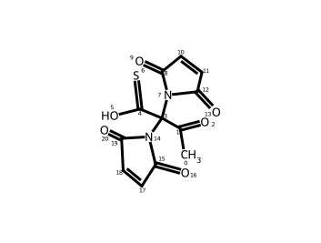 CC(=O)C(C(O)=S)(N1C(=O)C=CC1=O)N1C(=O)C=CC1=O